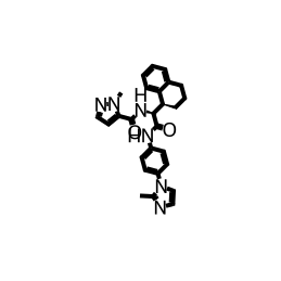 Cc1nccn1-c1ccc(NC(=O)[C@@H](NC(=O)c2ccnn2C)[C@@H]2CCCc3ccccc32)cc1